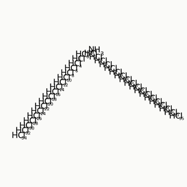 Cl.Cl.Cl.Cl.Cl.Cl.Cl.Cl.Cl.Cl.Cl.Cl.Cl.Cl.Cl.Cl.Cl.Cl.Cl.Cl.Cl.Cl.Cl.Cl.Cl.Cl.Cl.Cl.Cl.Cl.Cl.Cl.Cl.Cl.Cl.Cl.N